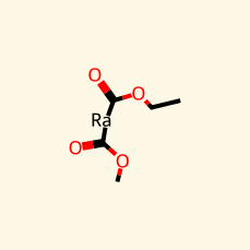 CCO[C](=O)[Ra][C](=O)OC